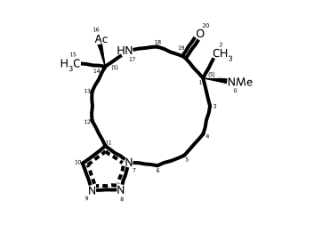 CN[C@@]1(C)CCCCn2nncc2CC[C@@](C)(C(C)=O)NCC1=O